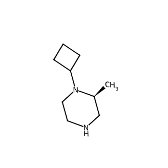 C[C@H]1CNCCN1C1CCC1